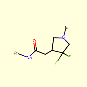 CCN1CC(CC(=O)NC(C)C)C(F)(F)C1